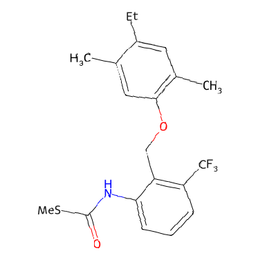 CCc1cc(C)c(OCc2c(NC(=O)SC)cccc2C(F)(F)F)cc1C